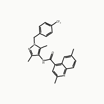 Cc1ccc2nc(C)cc(C(=O)Nc3c(C)nn(Cc4ccc(C(F)(F)F)cc4)c3C)c2c1